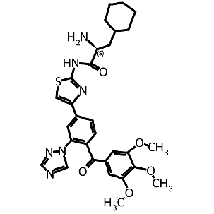 COc1cc(C(=O)c2ccc(-c3csc(NC(=O)[C@@H](N)CC4CCCCC4)n3)cc2-n2cncn2)cc(OC)c1OC